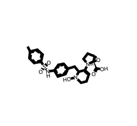 Cc1ccc(S(=O)(=O)Nc2ccc(CC3C(N4CCC5O[C@@]54C(=O)O)=CCCN3O)cc2)cc1